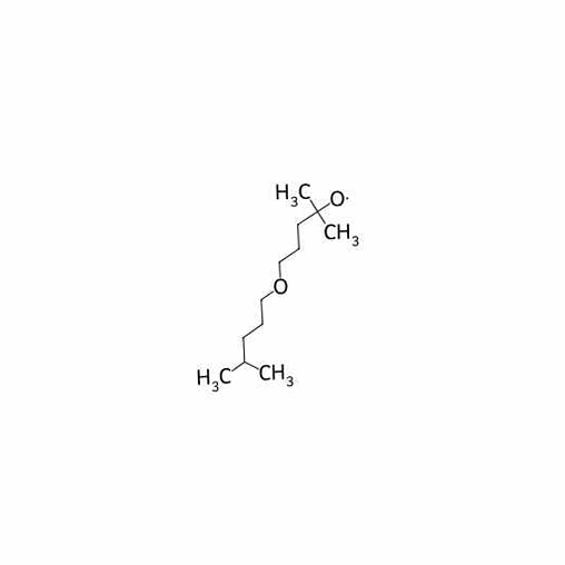 CC(C)CCCOCCCC(C)(C)[O]